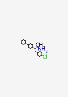 C[C@H](N)[C@@H](Cc1ccc(Cl)cc1)c1ccc(-c2ccccc2)cc1